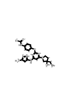 CCC(=O)Nc1ccc(Sc2nc(Nc3cc(C)n[nH]3)cc(N3CCC(O)(CC(C)(C)C)C3)n2)cc1